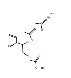 C=CC(O)C(N)CN.CC(=O)[O-].CC(=O)[O-].CC(=O)[O-].[Na+].[Na+].[Na+]